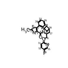 Cc1nc(C(=O)N2C(COc3ccc(F)cn3)CC3CC2C3)c(-c2ccccc2)s1